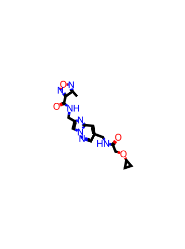 Cc1nonc1C(=O)NCc1cn2ncc(CNC(=O)COC3CC3)cc2n1